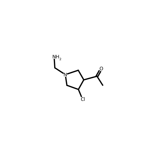 CC(=O)C1CN(CN)CC1Cl